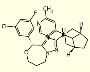 Cc1cc(N2C[C@H]3CC[C@@H](C2)C3Nc2nc3n(n2)CCCO[C@@H]3c2cc(F)cc(Cl)c2)ncn1